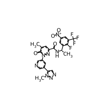 Cc1cc(C(=O)N[C@H](C)c2cc([N+](=O)[O-])cc(C(F)(F)F)c2F)nn(-c2cncc(-c3cnnn3C)c2)c1=O